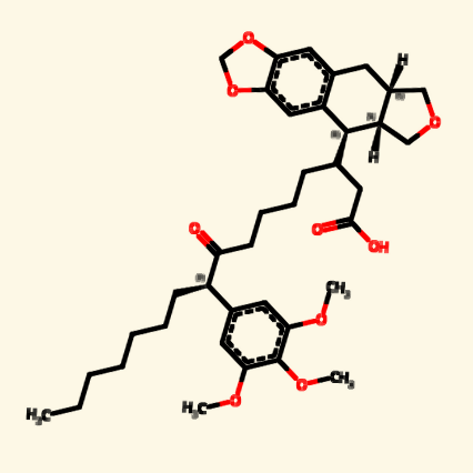 CCCCCCC[C@@H](C(=O)CCCCC(CC(=O)O)[C@H]1c2cc3c(cc2C[C@@H]2COC[C@@H]21)OCO3)c1cc(OC)c(OC)c(OC)c1